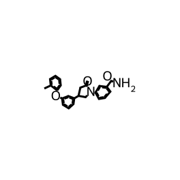 Cc1ccccc1Oc1cccc(C2CC(=O)N(c3cccc(C(N)=O)c3)C2)c1